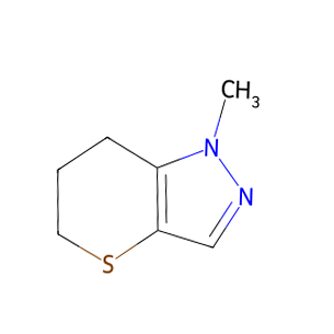 Cn1ncc2c1CCCS2